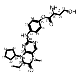 CC[C@@H]1C(=O)N(C)c2cnc(Nc3ccc(OC(=O)[C@@H](N)CCO)cc3)nc2N1C1CCCC1